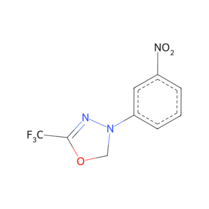 O=[N+]([O-])c1cccc(N2COC(C(F)(F)F)=N2)c1